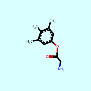 Cc1cc(OC(=O)CN)cc(C)c1C